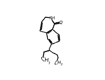 CCC(CC)c1ccc2c(c1)C=CCNC2=O